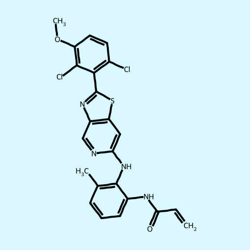 C=CC(=O)Nc1cccc(C)c1Nc1cc2sc(-c3c(Cl)ccc(OC)c3Cl)nc2cn1